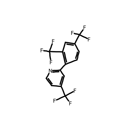 FC(F)(F)c1ccnc(-c2ccc(C(F)(F)F)cc2C(F)(F)F)c1